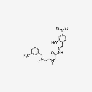 CCN(CC)c1ccc(/C=N/NC(=O)CN(C)CCN(C)Cc2cccc(C(F)(F)F)c2)c(O)c1